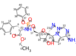 CCOC(=O)[C@H](Cc1ccccc1)NP(=O)(OC[C@@H]1C[C@@H](O)[C@](C#N)(c2ccc3c(N)ncnn23)O1)Oc1ccccc1